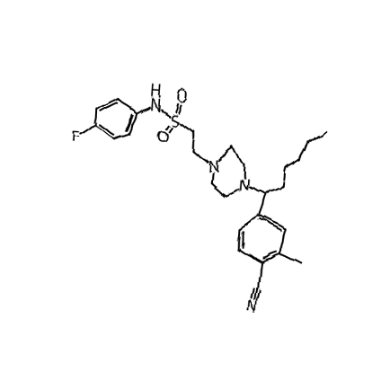 CCCCCC(c1ccc(C#N)c(C)c1)N1CCN(CCS(=O)(=O)Nc2ccc(F)cc2)CC1